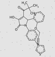 CC(C)(C)C(=O)C1=C(O)C(=O)N(c2ccc(-c3ccsc3)cc2)C1c1ccccc1OCC#N